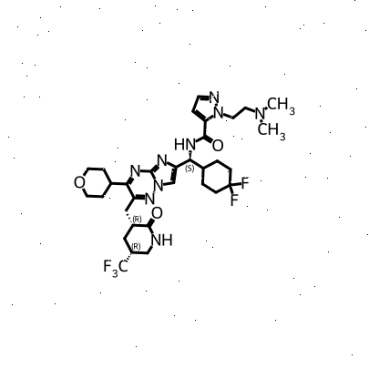 CN(C)CCn1nccc1C(=O)N[C@H](c1cn2nc(C[C@H]3C[C@@H](C(F)(F)F)CNC3=O)c(C3CCOCC3)nc2n1)C1CCC(F)(F)CC1